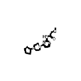 COCC(=O)Nc1nccc(N2CCN(C3CCCC3)CC2)n1